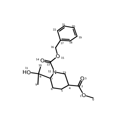 COC(=O)C1CCC(C(C)(C)O)N(C(=O)OCc2ccccc2)C1